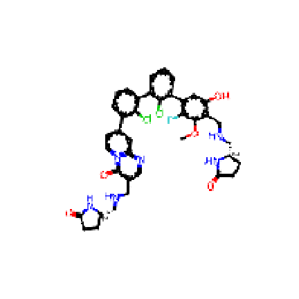 COc1c(F)c(-c2cccc(-c3cccc(-c4ccn5c(=O)c(CNC[C@@H]6CCC(=O)N6)cnc5c4)c3Cl)c2Cl)cc(O)c1CNC[C@@H]1CCC(=O)N1